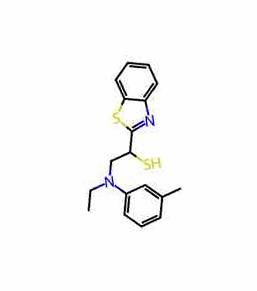 CCN(CC(S)c1nc2ccccc2s1)c1cccc(C)c1